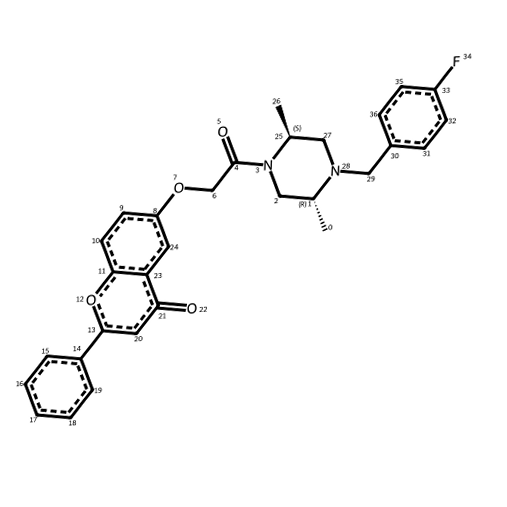 C[C@@H]1CN(C(=O)COc2ccc3oc(-c4ccccc4)cc(=O)c3c2)[C@@H](C)CN1Cc1ccc(F)cc1